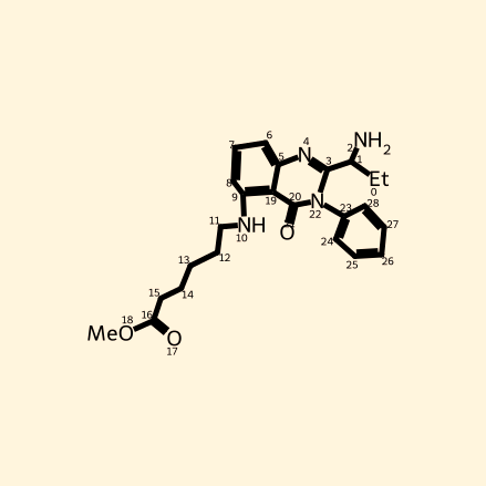 CCC(N)c1nc2cccc(NCCCCCC(=O)OC)c2c(=O)n1-c1ccccc1